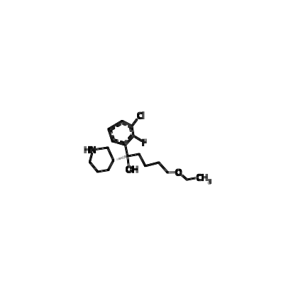 CCOCCCCC(O)(c1cccc(Cl)c1F)[C@@H]1CCCNC1